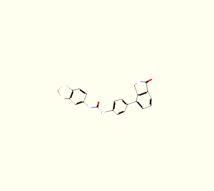 O=C(Nc1ccc(-c2cccc3c2CNC3=O)cc1)Nc1ccc2c(c1)OCO2